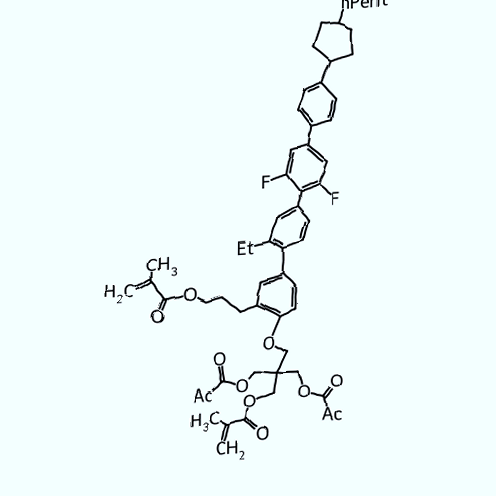 C=C(C)C(=O)OCCCc1cc(-c2ccc(-c3c(F)cc(-c4ccc(C5CCC(CCCCC)CC5)cc4)cc3F)cc2CC)ccc1OCC(COC(=O)C(=C)C)(COC(=O)C(C)=O)COC(=O)C(C)=O